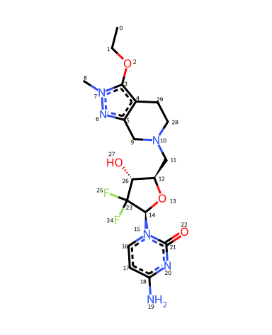 CCOc1c2c(nn1C)CN(C[C@H]1O[C@@H](n3ccc(N)nc3=O)C(F)(F)[C@@H]1O)CC2